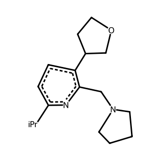 CC(C)c1ccc(C2CCOC2)c(CN2CCCC2)n1